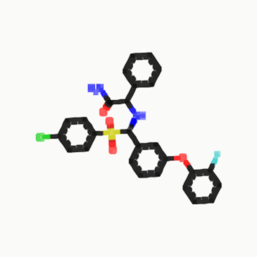 NC(=O)C(N[C@@H](c1cccc(Oc2ccccc2F)c1)S(=O)(=O)c1ccc(Cl)cc1)c1ccccc1